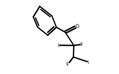 O=C(c1ccccc1)C(F)(I)C(F)I